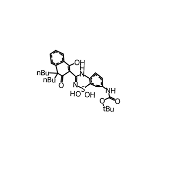 CCCCC1(CCCC)C(=O)C(C2=NS(O)(O)c3cc(NC(=O)OC(C)(C)C)ccc3N2)=C(O)c2ccccc21